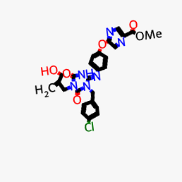 C=C(CO)Cn1c(=O)[nH]/c(=N\c2ccc(Oc3cnc(C(=O)OC)cn3)cc2)n(Cc2ccc(Cl)cc2)c1=O